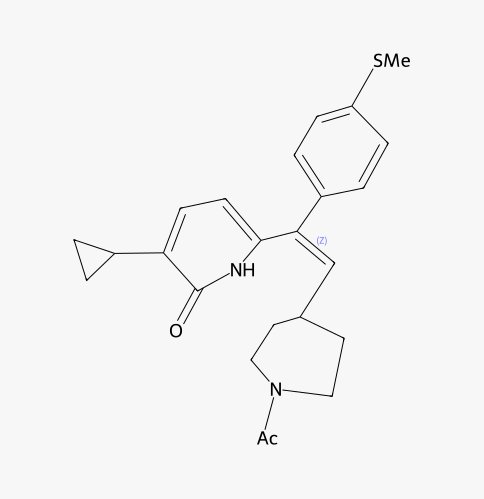 CSc1ccc(/C(=C/C2CCN(C(C)=O)CC2)c2ccc(C3CC3)c(=O)[nH]2)cc1